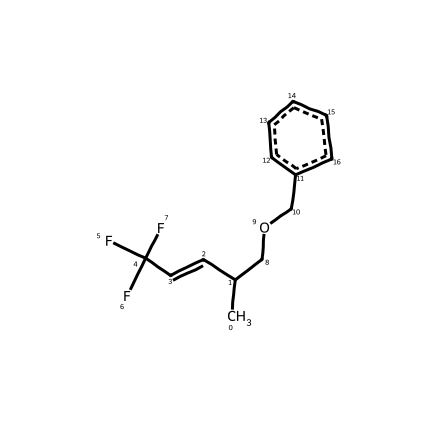 CC(C=CC(F)(F)F)COCc1ccccc1